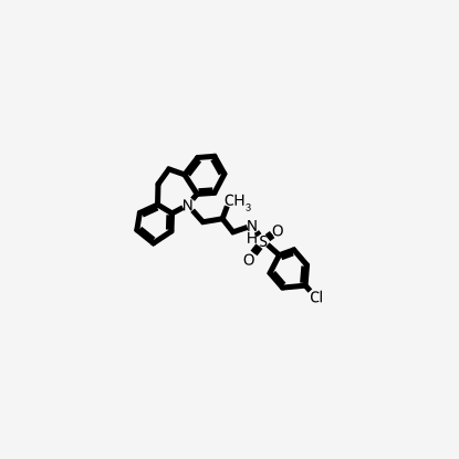 CC(CNS(=O)(=O)c1ccc(Cl)cc1)CN1c2ccccc2CCc2ccccc21